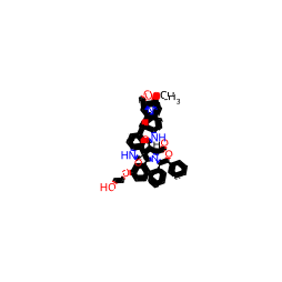 COc1ccc(C#Cc2ccc3c(c2)[C@]2(C(=O)N3)[C@H](c3cccc(OCCO)c3)N3[C@H](c4ccccc4)[C@H](c4ccccc4)OC(=O)[C@H]3[C@@H]2C(=O)Nc2ccc(N3CCOCC3)cc2)cc1